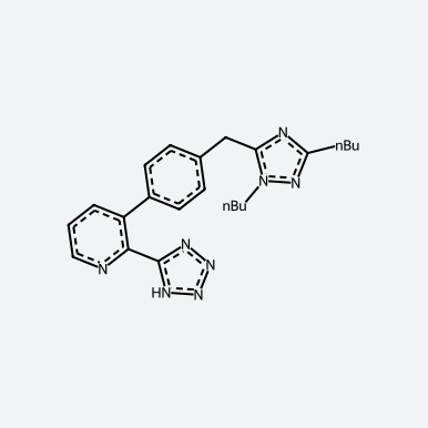 CCCCc1nc(Cc2ccc(-c3cccnc3-c3nnn[nH]3)cc2)n(CCCC)n1